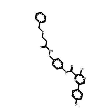 Cc1ccc(-c2cnc(N)c(C(=O)Nc3ccc(SNC(=O)CCOCc4ccccc4)cc3)n2)cc1